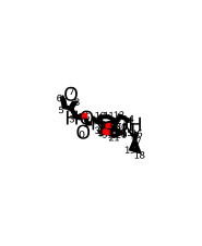 O=C(/C=C/c1ccoc1)N1CCC23CCN(CC4CC4)C(Cc4ccc(O)cc42)C3(O)CC1